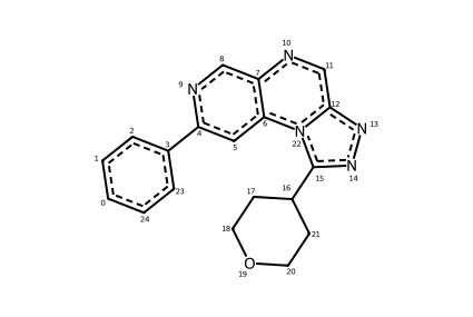 c1ccc(-c2cc3c(cn2)ncc2nnc(C4CCOCC4)n23)cc1